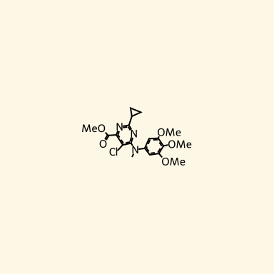 COC(=O)c1nc(C2CC2)nc(N(C)c2cc(OC)c(OC)c(OC)c2)c1Cl